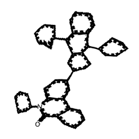 O=c1c2ccccc2c2cc(-c3ccc4c(-c5ccccc5)c5ccccc5c(-c5ccccc5)c4c3)ccc2n1-c1ccccc1